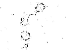 COc1ccc(C2=NOC(CCc3ccccc3)C2)cc1